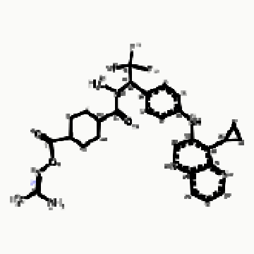 C/C(N)=N/OC(=O)C1CCC(C(=O)N(C)[C@H](c2ccc(Nc3cnc4cccnc4c3C3CC3)cc2)C(F)(F)F)CC1